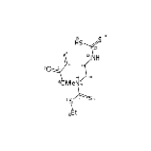 C=CC(=O)OC.CCSC(=S)NCCNC(=S)S